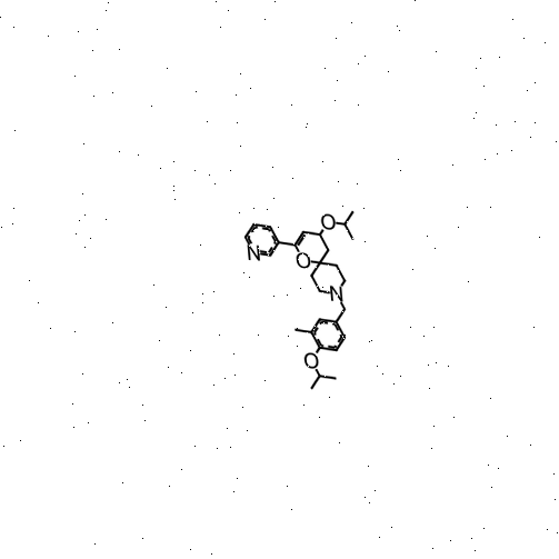 Cc1cc(CN2CCC3(CC2)CC(OC(C)C)C=C(c2cccnc2)O3)ccc1OC(C)C